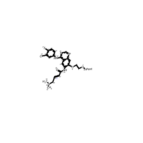 CCCCCOCCOc1cc2ncnc(Nc3ccc(F)c(Cl)c3)c2cc1NC(=O)/C=C/CN(C)C